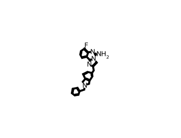 Nc1nc2c(F)cccc2c2nc(Cc3ccc4c(c3)CN(Cc3ccccc3)C4)cn12